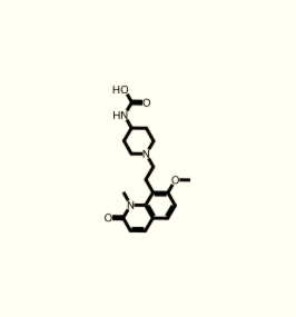 COc1ccc2ccc(=O)n(C)c2c1CCN1CCC(NC(=O)O)CC1